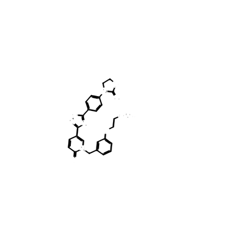 COCCOc1cccc(Cn2cc(-c3noc(-c4ccc(N5CCOC5=O)cc4)n3)ccc2=O)c1